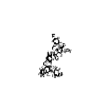 CC(C)n1cc(C(=O)Nc2ccc(Oc3cc(N4CCOCC4)cn4nccc34)c(F)c2)c(=O)n(-c2ccc(F)cc2)c1=O